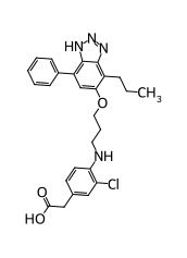 CCCc1c(OCCCNc2ccc(CC(=O)O)cc2Cl)cc(-c2ccccc2)c2[nH]nnc12